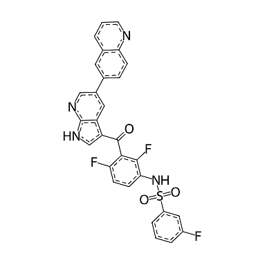 O=C(c1c(F)ccc(NS(=O)(=O)c2cccc(F)c2)c1F)c1c[nH]c2ncc(-c3ccc4ncccc4c3)cc12